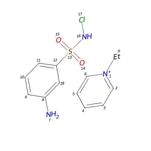 CC[n+]1ccccc1.Nc1cccc(S(=O)(=O)NCl)c1